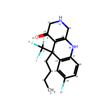 CCCCC1(C(F)(F)F)C2=C(CNCC2=O)Nc2ccc(F)cc21